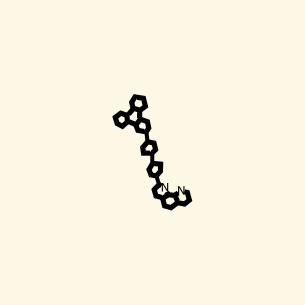 c1cnc2c(c1)ccc1ccc(-c3ccc(-c4ccc(-c5ccc6c7ccccc7c7ccccc7c6c5)cc4)cc3)nc12